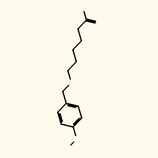 COc1ccc(CNCCCCCC(=O)O)cc1